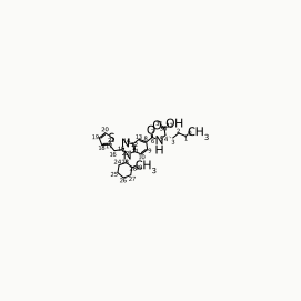 CCCC[C@H](NC(=O)c1ccc2c(c1)nc(Cc1cccs1)n2C1CCCCC1C)C(=O)O